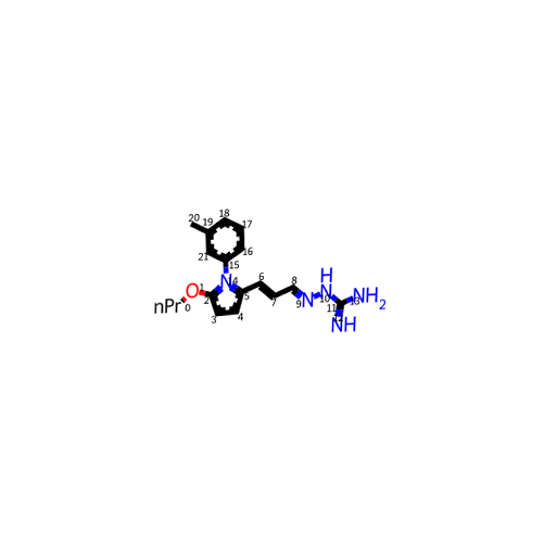 CCCOc1ccc(/C=C/C=N/NC(=N)N)n1-c1cccc(C)c1